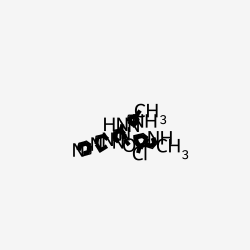 Cc1cc(Nc2cc(N3CCN(c4ccncc4)CC3)nc(Oc3ccc4[nH]c(C)cc4c3Cl)n2)n[nH]1